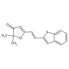 CC1(C)OC(/C=C/c2cc3ccccc3s2)=CC1=O